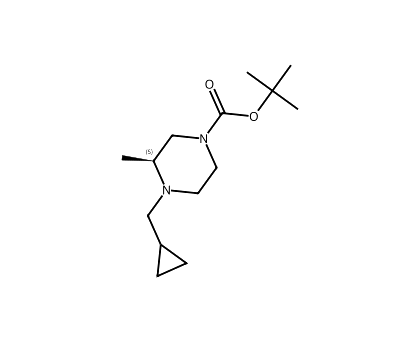 C[C@H]1CN(C(=O)OC(C)(C)C)CCN1CC1CC1